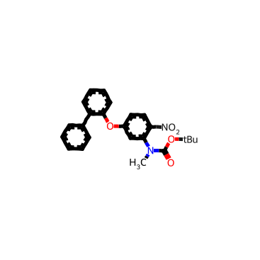 CN(C(=O)OC(C)(C)C)c1cc(Oc2ccccc2-c2ccccc2)ccc1[N+](=O)[O-]